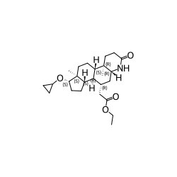 CCOC(=O)C[C@H]1C[C@H]2NC(=O)CC[C@]2(C)[C@H]2CC[C@]3(C)[C@@H](OC4CC4)CC[C@H]3[C@H]12